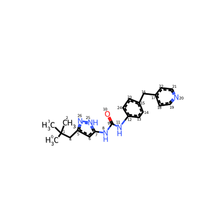 CC(C)(C)Cc1cc(NC(=O)Nc2ccc(Cc3ccncc3)cc2)[nH]n1